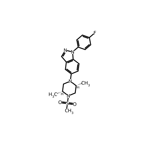 C[C@@H]1CN(S(C)(=O)=O)[C@H](C)CN1c1ccc2c(cnn2-c2ccc(F)cc2)c1